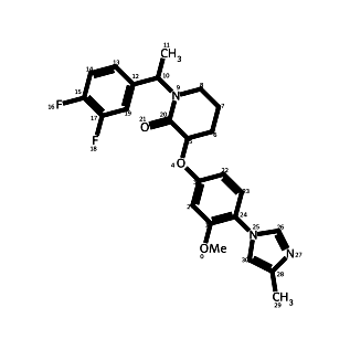 COc1cc(OC2CCCN(C(C)c3ccc(F)c(F)c3)C2=O)ccc1-n1cnc(C)c1